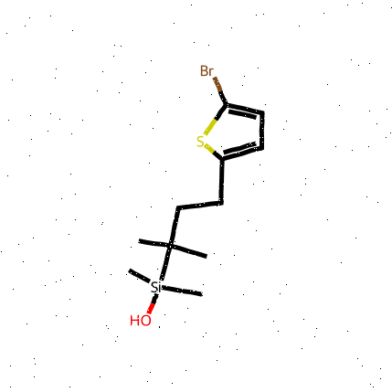 CC(C)(CCc1ccc(Br)s1)[Si](C)(C)O